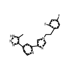 Cc1[nH]nnc1-c1ccnc(-c2cn(CCc3ccc(F)cc3F)cn2)c1